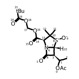 CC(=O)OC(C)[C@H]1C(=O)N2[C@@H]1[S+]([O-])C(C)(C)[C@@H]2C(=O)OCOC(=O)C(C)(C)C